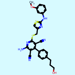 COc1cccc(Nc2nc(CSc3nc(N)c(C#N)c(-c4ccc(CCCO)cc4)c3C#N)cs2)c1